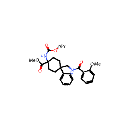 CCCOC(=O)NC1(C(=O)OC)CCC(CNC(=O)c2ccccc2OC)(c2ccccc2)CC1